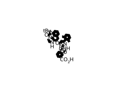 Cc1cccc(C)c1-c1cc(OC(Cc2ccccc2)C2CN(C(=O)OC(C)(C)C)CCN2)nc(NS(=O)(=O)c2cccc(C(=O)O)c2)n1